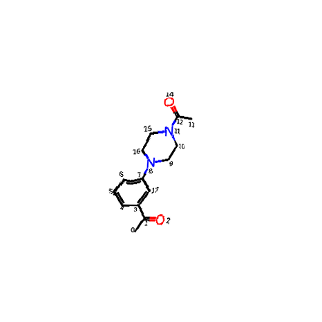 CC(=O)c1c[c]cc(N2CCN(C(C)=O)CC2)c1